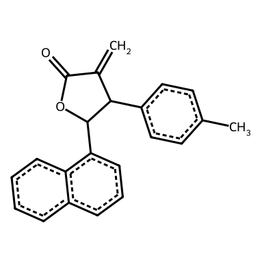 C=C1C(=O)OC(c2cccc3ccccc23)C1c1ccc(C)cc1